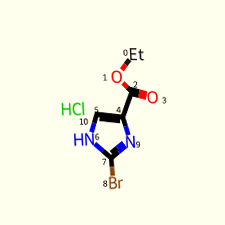 CCOC(=O)c1c[nH]c(Br)n1.Cl